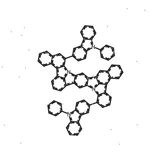 c1ccc(-n2c3ccccc3c3cc(-c4cc5ccccc5c5c6cccc7c8cc9c(cc8n(c45)c76)c4cc5ccccc5c5c6cccc(-c7ccc8c(c7)c7ccccc7n8-c7ccccc7)c6n9c45)ccc32)cc1